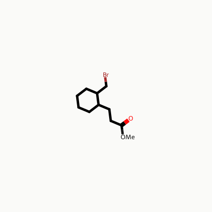 COC(=O)CCC1CCCCC1CBr